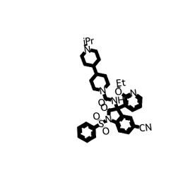 CCOc1ncccc1C1(NC(=O)N2CCC(C3CCN(C(C)C)CC3)CC2)C(=O)N(S(=O)(=O)c2ccccc2)c2ccc(C#N)cc21